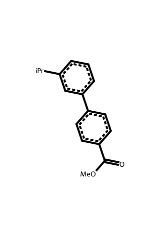 COC(=O)c1ccc(-c2cccc(C(C)C)c2)cc1